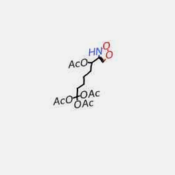 CC(=O)OC(CCCCC(OC(C)=O)(OC(C)=O)OC(C)=O)C1=COON1